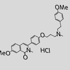 COc1ccc(CCN(C)CCCOc2ccc(-c3cc4ccc(OC)cc4c(=O)n3C)cc2)cc1.Cl